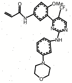 C=CC(=O)Nc1ccc(OC)c(-c2nc(Nc3cccc(N4CCOCC4)c3)ncc2C(F)(F)F)c1